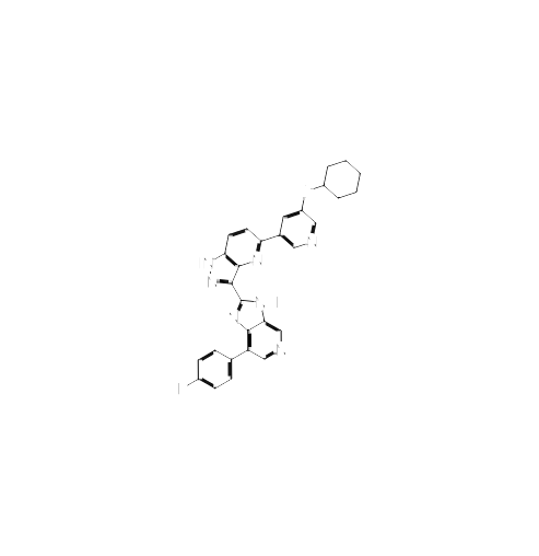 Fc1ccc(-c2cncc3[nH]c(-c4n[nH]c5ccc(-c6cncc(OC7CCCCC7)c6)nc45)nc23)cc1